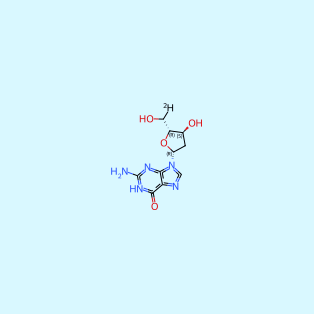 [2H]C(O)[C@H]1O[C@@H](n2cnc3c(=O)[nH]c(N)nc32)C[C@@H]1O